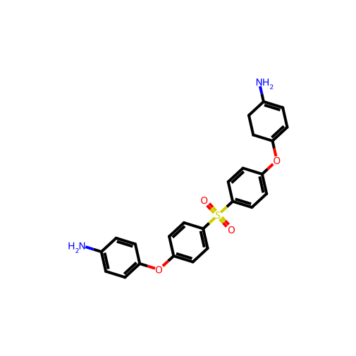 NC1=CC=C(Oc2ccc(S(=O)(=O)c3ccc(Oc4ccc(N)cc4)cc3)cc2)CC1